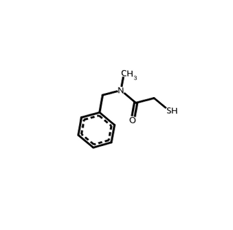 CN(Cc1ccccc1)C(=O)CS